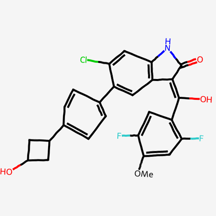 COc1cc(F)c(/C(O)=C2/C(=O)Nc3cc(Cl)c(-c4ccc(C5CC(O)C5)cc4)cc32)cc1F